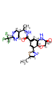 Cc1cnc(-c2cc(C(=O)NC(C)c3cnc(C(F)(F)F)nc3)cc3c2OCC(=O)N3)s1